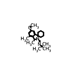 COc1cc(C)c2c(c1)C1(CCCCC1)N(C=NC(C)(C)C)C2C